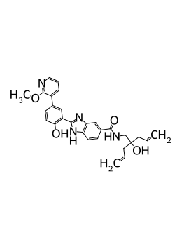 C=CCC(O)(CC=C)CNC(=O)c1ccc2[nH]c(-c3cc(-c4cccnc4OC)ccc3O)nc2c1